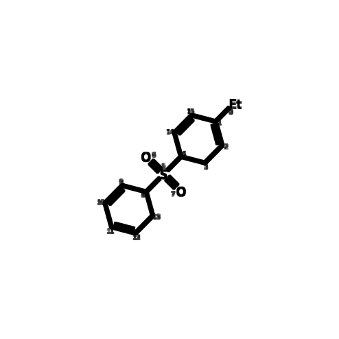 CCC1=CCC(S(=O)(=O)C2C=CC=CC2)C=C1